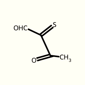 CC(=O)C(=S)C=O